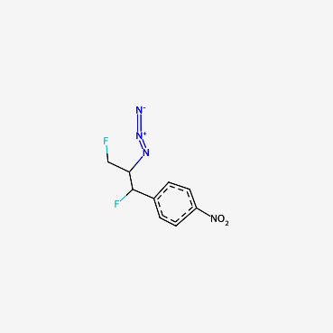 [N-]=[N+]=NC(CF)C(F)c1ccc([N+](=O)[O-])cc1